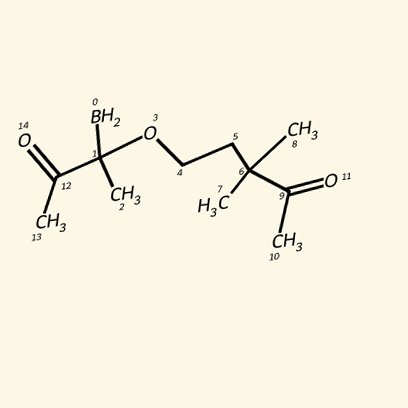 BC(C)(OCCC(C)(C)C(C)=O)C(C)=O